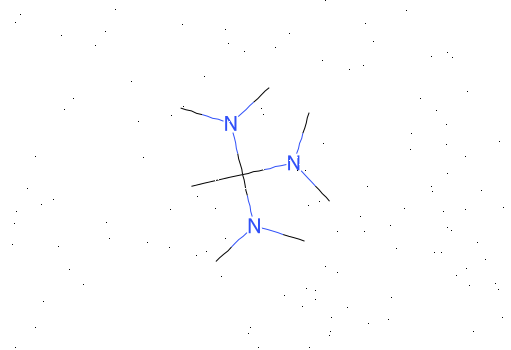 CN(C)C(C)(N(C)C)N(C)C